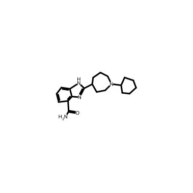 NC(=O)c1cccc2[nH]c(C3CCCN(C4CCCCC4)CC3)nc12